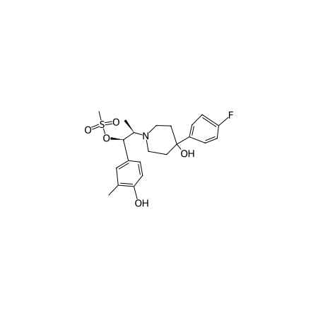 Cc1cc([C@@H](OS(C)(=O)=O)[C@@H](C)N2CCC(O)(c3ccc(F)cc3)CC2)ccc1O